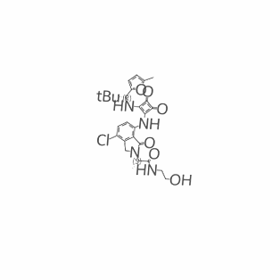 Cc1ccc([C@H](Nc2c(Nc3ccc(Cl)c4c3C(=O)N([C@@H](C)C(=O)NCCO)C4)c(=O)c2=O)C(C)(C)C)o1